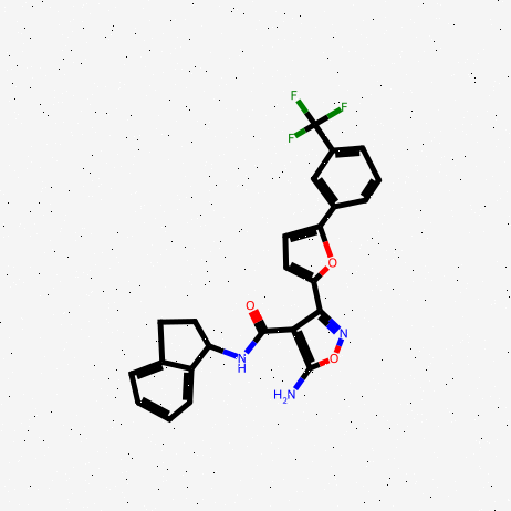 Nc1onc(-c2ccc(-c3cccc(C(F)(F)F)c3)o2)c1C(=O)NC1CCc2ccccc21